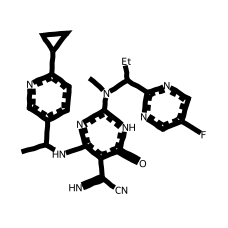 CCC(c1ncc(F)cn1)N(C)c1nc(NC(C)c2ccc(C3CC3)nc2)c(C(=N)C#N)c(=O)[nH]1